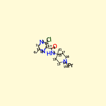 Cc1cnc(Cl)c(C(=O)NC2(C)CCN(C(C)C)CC2)n1